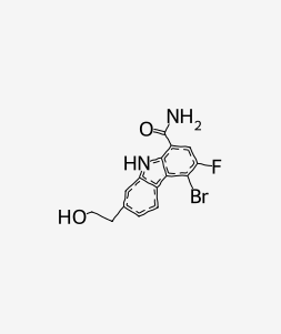 NC(=O)c1cc(F)c(Br)c2c1[nH]c1cc(CCO)ccc12